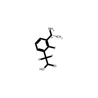 CCC(O)C(F)(F)c1cccc([C@@H](C)N)c1F